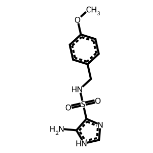 COc1ccc(CNS(=O)(=O)c2nc[nH]c2N)cc1